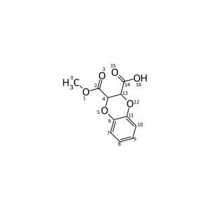 COC(=O)C1Oc2ccccc2OC1C(=O)O